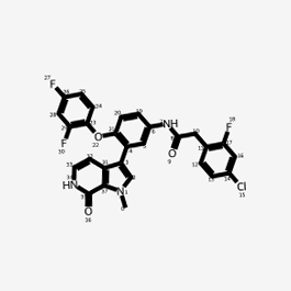 Cn1cc(-c2cc(NC(=O)Cc3ccc(Cl)cc3F)ccc2Oc2ccc(F)cc2F)c2cc[nH]c(=O)c21